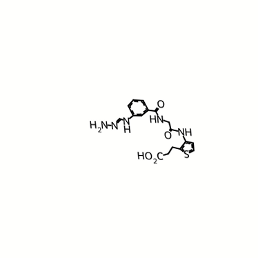 NN=CNc1cccc(C(=O)NCC(=O)Nc2ccsc2CCC(=O)O)c1